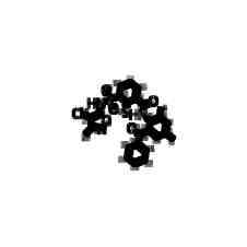 Cc1cc(C)c(NC(=O)C2=CC=CC(S(=O)(=O)Nc3onc(C)c3Cl)C2=S)c(C(=O)c2ccccc2)c1